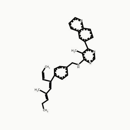 C\C=C/C(=C\C(C)=C\CC)c1ccc(CNc2ncnc(-c3ccc4ncccc4c3)c2C)cc1